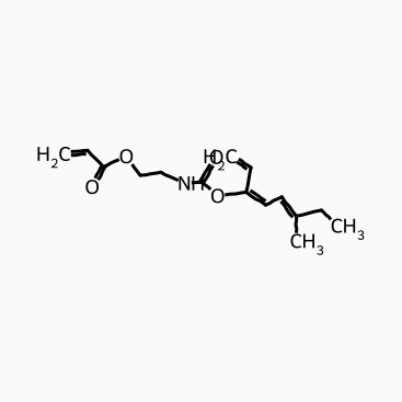 C=CC(=O)OCCNC(=O)O/C(C=C)=C/C=C(\C)CC